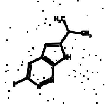 CC(C)c1cc2cc(I)nnc2[nH]1